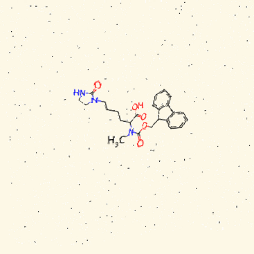 CN(C(=O)OCC1c2ccccc2-c2ccccc21)C(CCCCN1CCNC1=O)C(=O)O